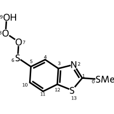 CSc1nc2cc(SOOO)ccc2s1